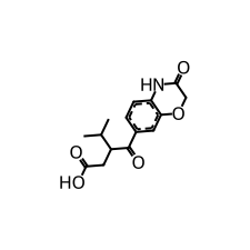 CC(C)C(CC(=O)O)C(=O)c1ccc2c(c1)OCC(=O)N2